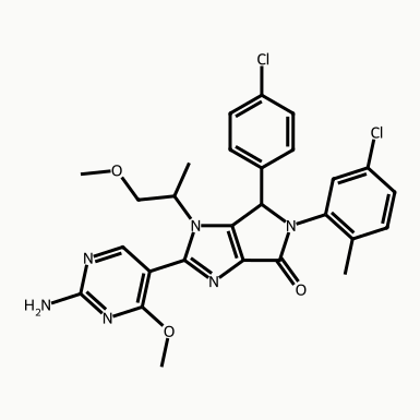 COCC(C)n1c(-c2cnc(N)nc2OC)nc2c1C(c1ccc(Cl)cc1)N(c1cc(Cl)ccc1C)C2=O